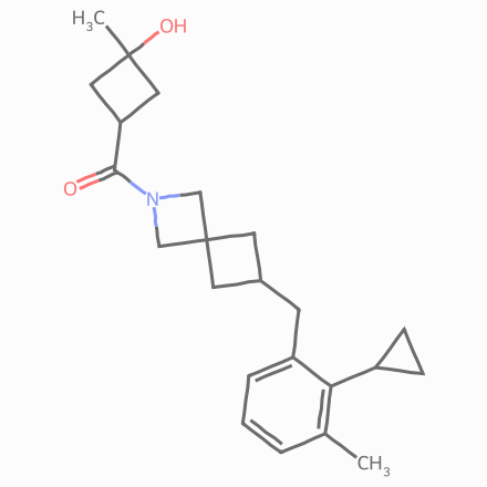 Cc1cccc(CC2CC3(C2)CN(C(=O)C2CC(C)(O)C2)C3)c1C1CC1